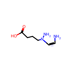 N/C=C\N(N)CCCC(=O)O